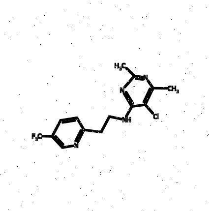 Cc1nc(C)c(Cl)c(NCCc2ccc(C(F)(F)F)cn2)n1